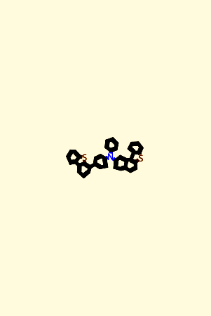 c1ccc(N(c2ccc(-c3cccc4c3sc3ccccc34)cc2)c2ccc3ccc4sc5ccccc5c4c3c2)cc1